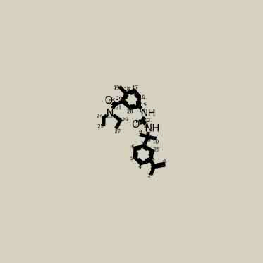 C=C(C)c1cccc(C(C)(C)NC(=O)Nc2ccc(C)c(C(=O)N(CC)CC)c2)c1